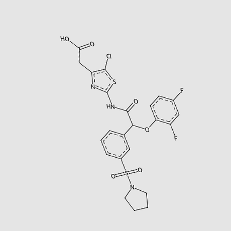 O=C(O)Cc1nc(NC(=O)C(Oc2ccc(F)cc2F)c2cccc(S(=O)(=O)N3CCCC3)c2)sc1Cl